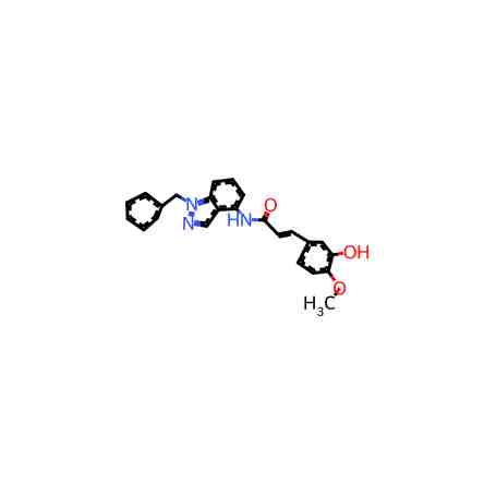 COc1ccc(/C=C/C(=O)Nc2cccc3c2cnn3Cc2ccccc2)cc1O